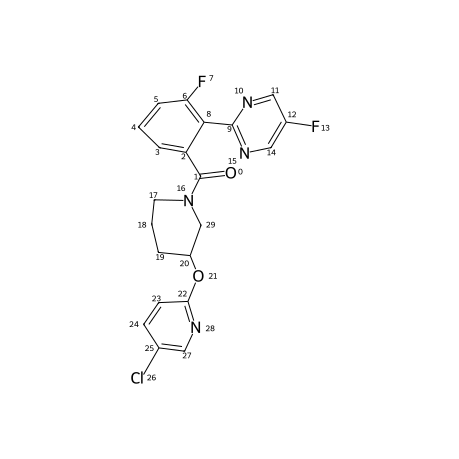 O=C(c1cccc(F)c1-c1ncc(F)cn1)N1CCCC(Oc2ccc(Cl)cn2)C1